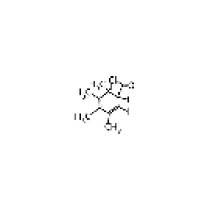 CC1=C(C)C(C)(I)C(I)(C(=O)Cl)C(I)=C1C